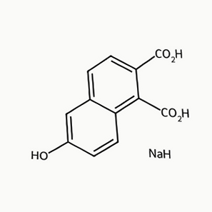 O=C(O)c1ccc2cc(O)ccc2c1C(=O)O.[NaH]